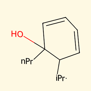 CCCC1(O)C=CC=CC1[C](C)C